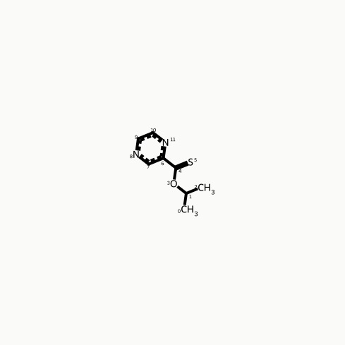 CC(C)OC(=S)c1cnccn1